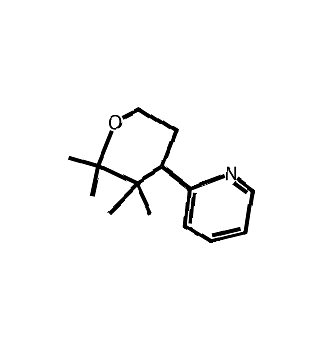 CC1(C)OCCC(c2ccccn2)C1(C)C